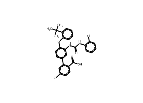 CC(C)(C)c1ccccc1Oc1ccc(-c2cc(Cl)ccc2C(=O)O)cc1NC(=O)Nc1ccccc1Cl